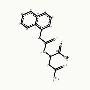 CC(=O)CC(OC(=O)Cc1cccc2ccccc12)C(=O)O